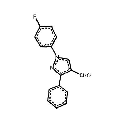 O=Cc1cn(-c2ccc(F)cc2)nc1-c1ccccc1